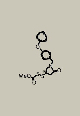 COC(=O)SS[C@@H]1CC(=O)N(Cc2ccc(Oc3ccccc3)cc2)C1